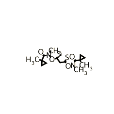 CN(OC(=S)CC(=S)ON(C)C(=O)C1(C)CC1)C(=O)C1(C)CC1